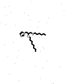 CCCCCCCCOC(CSCCCCCC)Cn1ccnc1